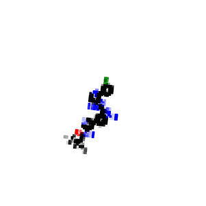 CC(C)CC(=O)Nc1cncc(-c2ccc3[nH]nc(-c4nc5c(-c6cccc(F)c6)nccc5[nH]4)c3c2)c1